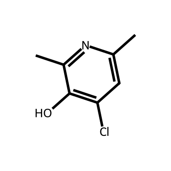 Cc1cc(Cl)c(O)c(C)n1